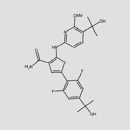 COc1nc(Nc2sc(-c3c(F)cc(C(C)(C)O)cc3F)cc2C(N)=O)ccc1C(C)(C)O